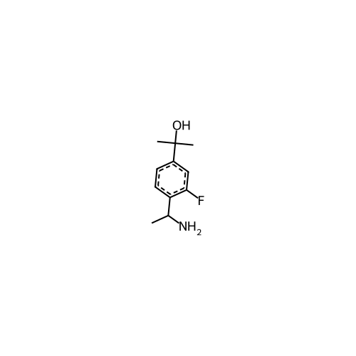 CC(N)c1ccc(C(C)(C)O)cc1F